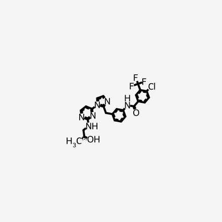 C[C@H](O)CNc1nccc(-n2ccnc2Cc2cccc(NC(=O)c3ccc(Cl)c(C(F)(F)F)c3)c2)n1